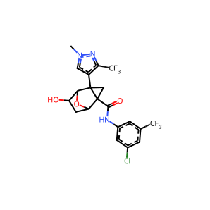 Cn1cc(C23CC2(C(=O)Nc2cc(Cl)cc(C(F)(F)F)c2)C2CC(O)C3O2)c(C(F)(F)F)n1